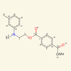 CCN(CCOC(=O)c1ccc(C(=O)OC)cc1)c1cccc(C)c1